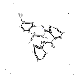 O=C(Nc1ccccc1)c1ccccc1/N=C/c1cc(F)ccc1[N+](=O)[O-]